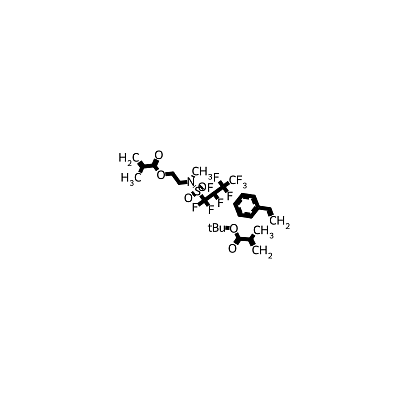 C=C(C)C(=O)OC(C)(C)C.C=C(C)C(=O)OCCN(C)S(=O)(=O)C(F)(F)C(F)(F)C(F)(F)C(F)(F)F.C=Cc1ccccc1